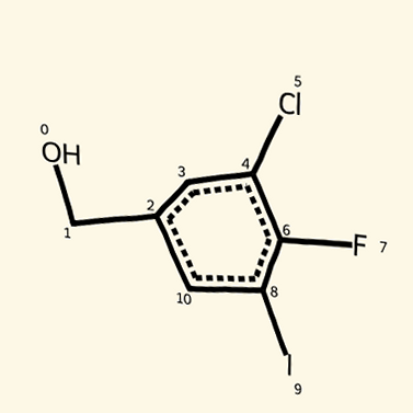 OCc1cc(Cl)c(F)c(I)c1